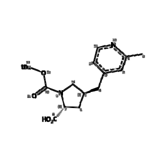 Cc1cc(C[C@H]2C[C@H](C(=O)O)N(C(=O)OC(C)(C)C)C2)ccn1